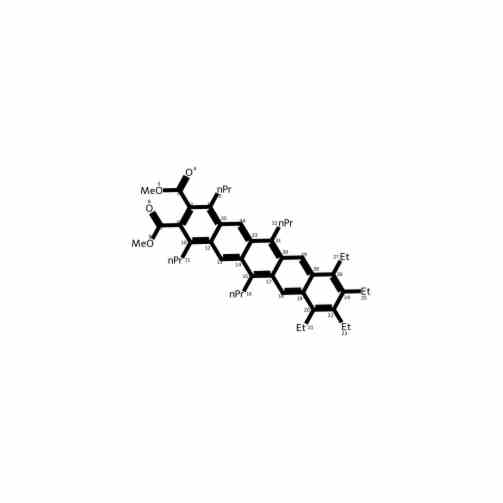 CCCc1c(C(=O)OC)c(C(=O)OC)c(CCC)c2cc3c(CCC)c4cc5c(CC)c(CC)c(CC)c(CC)c5cc4c(CCC)c3cc12